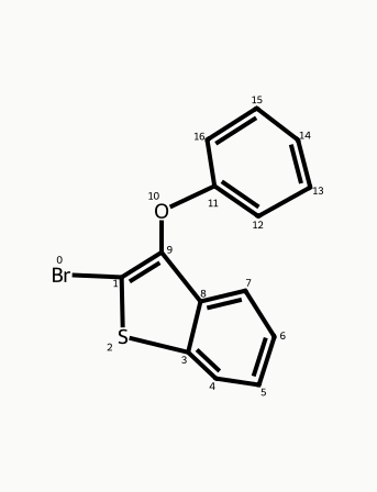 Brc1sc2ccccc2c1Oc1ccccc1